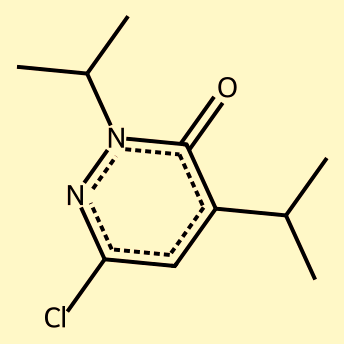 CC(C)c1cc(Cl)nn(C(C)C)c1=O